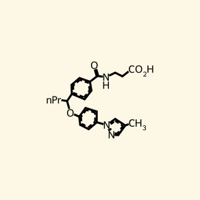 CCCC(Oc1ccc(-n2cc(C)cn2)cc1)c1ccc(C(=O)NCCC(=O)O)cc1